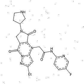 CCc1cc2n(CC(=O)Nc3ccc(F)cn3)c3c(c(=O)n2n1)CN(C1CCNC1)C3=O